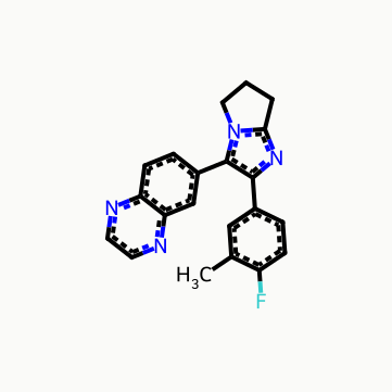 Cc1cc(-c2nc3n(c2-c2ccc4nccnc4c2)CCC3)ccc1F